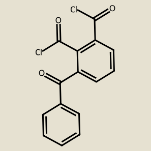 O=C(Cl)c1cccc(C(=O)c2ccccc2)c1C(=O)Cl